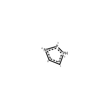 [c]1c[pH]pn1